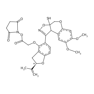 C=C(C)[C@H]1Cc2c(ccc(C3=NOC4(S)COc5cc(OC)c(OC)cc5C34)c2OCC(=O)ON2C(=O)CCC2=O)O1